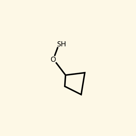 SOC1CCC1